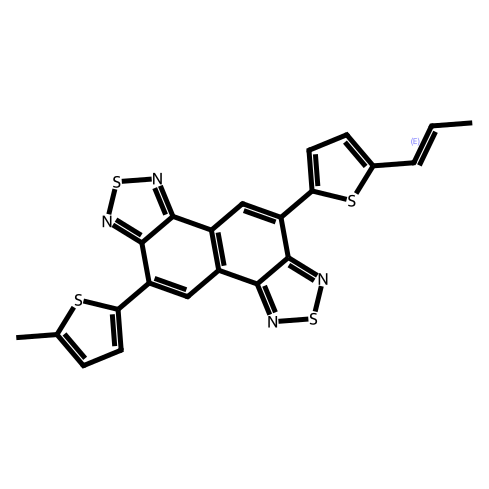 C/C=C/c1ccc(-c2cc3c(cc(-c4ccc(C)s4)c4nsnc43)c3nsnc23)s1